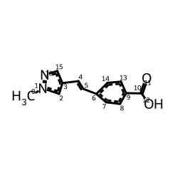 Cn1cc(/C=C/c2ccc(C(=O)O)cc2)cn1